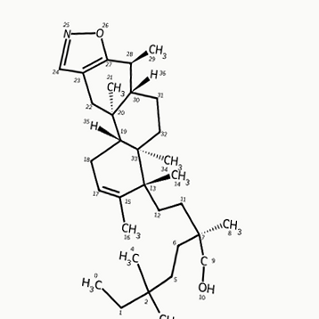 CCC(C)(C)CC[C@](C)(CO)CC[C@]1(C)C(C)=CC[C@@H]2[C@@]3(C)Cc4cnoc4[C@@H](C)[C@@H]3CC[C@]21C